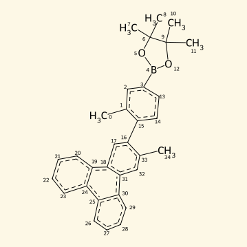 Cc1cc(B2OC(C)(C)C(C)(C)O2)ccc1-c1cc2c3ccccc3c3ccccc3c2cc1C